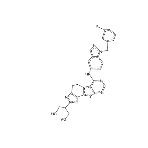 OCC(CO)n1cc2c(n1)CCc1c-2sc2ncnc(Nc3ccc4c(cnn4Cc4cccc(F)c4)c3)c12